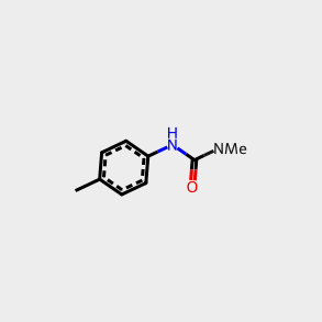 CNC(=O)Nc1ccc(C)cc1